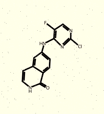 O=c1[nH]ccc2cc(Nc3nc(Cl)ncc3F)ccc12